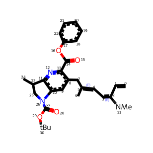 C=C/C(=C\C=C(/C)Cc1cc2c(nc1C(=O)Oc1ccccc1)C(C)CN2C(=O)OC(C)(C)C)NC